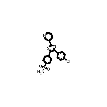 NS(=O)(=O)c1ccc(-c2sc(-c3cccnc3)nc2-c2ccc(Cl)cc2)cc1